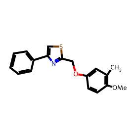 COc1ccc(OCc2nc(-c3ccccc3)cs2)cc1C